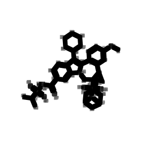 COc1ccc2c(c1)C1CC1(S(=O)(=O)N1C3CC1CN(C)C3)Cn1c-2c(C2CCCCC2)c2ccc(C(=O)NS(=O)(=O)C(C)C)cc21